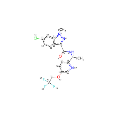 CC(NC(=O)c1nn(C)c2cc(Cl)ccc12)c1ccc(OCC(F)(F)F)cn1